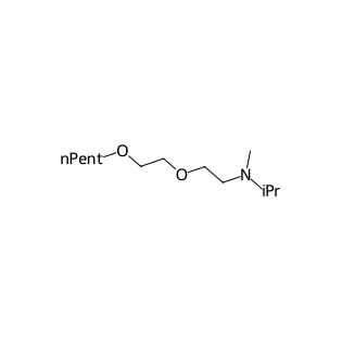 CCCCCOCCOCCN(C)C(C)C